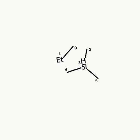 CCC.C[SiH](C)C